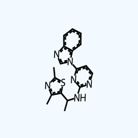 Cc1nc(C)c(C(C)Nc2nccc(-n3cnc4ccccc43)n2)s1